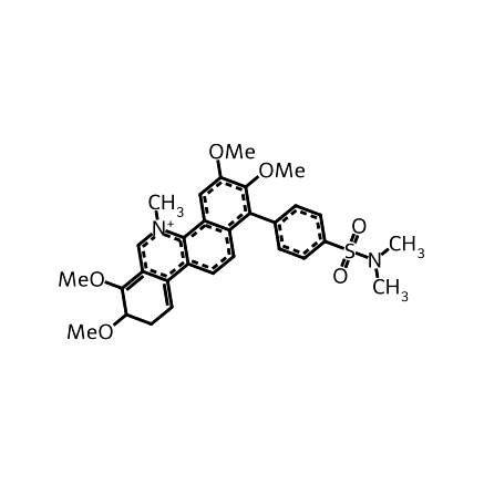 COC1=c2c[n+](C)c3c(ccc4c(-c5ccc(S(=O)(=O)N(C)C)cc5)c(OC)c(OC)cc43)c2=CCC1OC